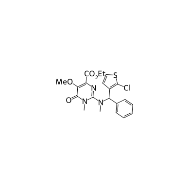 CCOC(=O)c1nc(N(C)C(c2ccccc2)c2ccsc2Cl)n(C)c(=O)c1OC